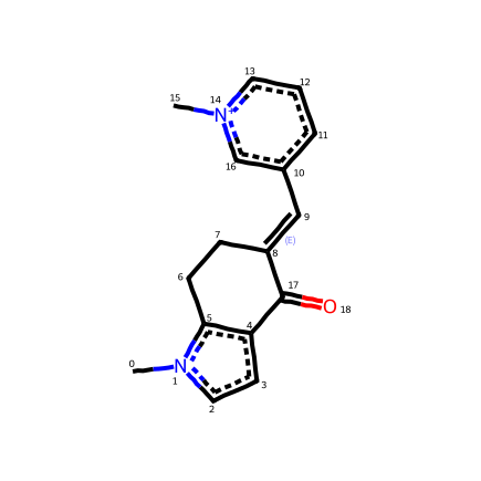 Cn1ccc2c1CC/C(=C\c1ccc[n+](C)c1)C2=O